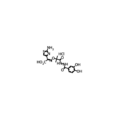 CC(C)(ON=C(C(=O)O)c1csc(N)n1)C(=O)NNC(=O)c1ccc(O)c(O)c1.Cl